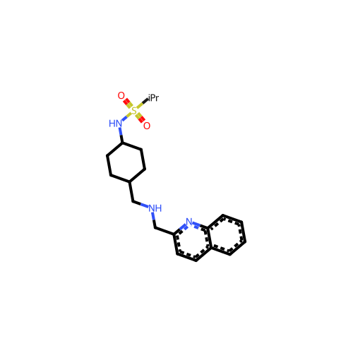 CC(C)S(=O)(=O)NC1CCC(CNCc2ccc3ccccc3n2)CC1